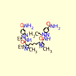 C=CCn1c(NC(=O)c2cc(C)nn2CCCCCc2c(C)nn(CC)c2C(=O)Nc2nc3cc(C(N)=O)ccc3n2CC)nc2cc(C(N)=O)ccc21